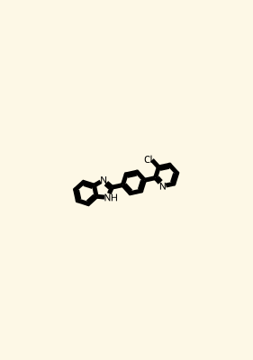 Clc1cccnc1-c1ccc(-c2nc3ccccc3[nH]2)cc1